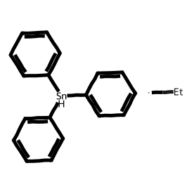 [CH2]CC.c1cc[c]([SnH]([c]2ccccc2)[c]2ccccc2)cc1